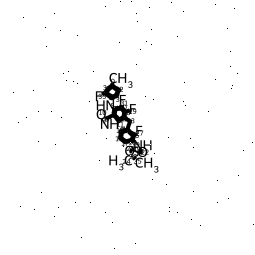 Cc1ccc(Nc2c(C(N)=O)cc(Cc3cccc(NS(=O)(=O)C(C)C)c3F)c(F)c2F)c(F)c1